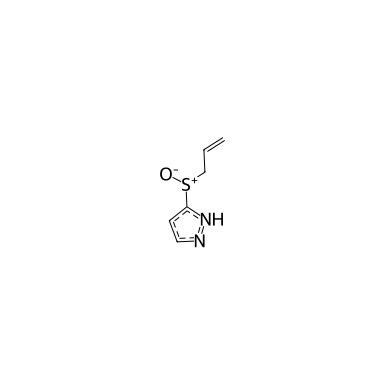 C=CC[S+]([O-])c1ccn[nH]1